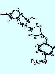 Cc1ccc2c(c1)nc(N1CCC(Oc3ccc(OC(F)(F)F)cc3)CC1)n2C